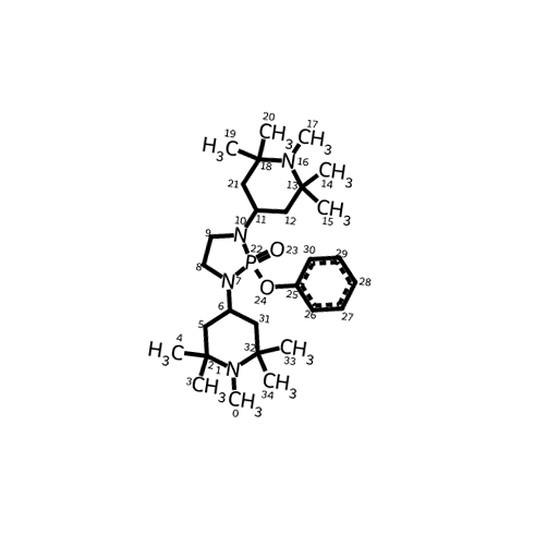 CN1C(C)(C)CC(N2CCN(C3CC(C)(C)N(C)C(C)(C)C3)P2(=O)Oc2ccccc2)CC1(C)C